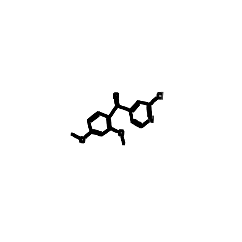 COc1ccc(C(=O)c2ccnc(Cl)c2)c(OC)c1